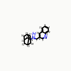 c1ccc2ncc(CNC34CC5CC(CC(C5)C3)C4)cc2c1